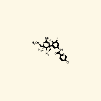 COC[C@@]1(C)SC(N)=N[C@](CF)(c2cc(NC(=O)c3ccc(Cl)cn3)cc(F)c2F)C1C